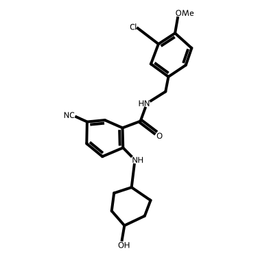 COc1ccc(CNC(=O)c2cc(C#N)ccc2NC2CCC(O)CC2)cc1Cl